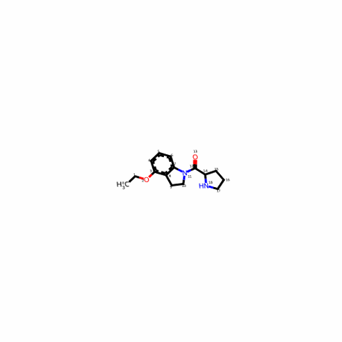 CCOc1cccc2c1CCN2C(=O)C1CCCN1